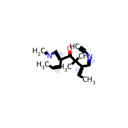 C#C/N=C\C(=C/C)C(C)(C)C(=O)C(/C=C\C)=C/N=C